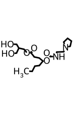 CCCCC(CCC(=O)OCC(CO)CO)OC(=O)NCCN1CCCC1